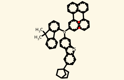 CC1(C)c2ccccc2-c2c(N(c3cccc(-c4cccc5cccc(-c6ccccc6)c45)c3)c3ccc4c(c3)sc3ccc(C56CCC(CC5)C6)cc34)cccc21